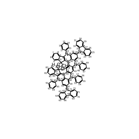 CC1(C)C2=C(c3ccccc31)N(c1ccccc1)c1cc(-n3c4ccccc4c4ccccc43)cc3c1B2c1cc2c(cc1N3c1ccccc1)N(c1ccccc1)c1cc(-n3c4ccccc4c4ccccc43)cc3c1B2C1=C(c2ccccc2C1(C)C)N3c1ccccc1